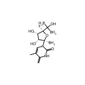 BC(B)(O)[C@@]1(F)O[C@@](B)(N2C=C(C)C(=C)NC2=O)[C@H](O)[C@@H]1O